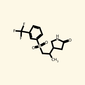 CC(CS(=O)(=O)c1cccc(C(F)(F)F)c1)C1CNC(=O)C1